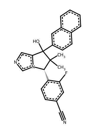 CC1(C)[C@H](c2ccc(C#N)cc2F)n2cncc2C1(O)c1ccc2ccccc2c1